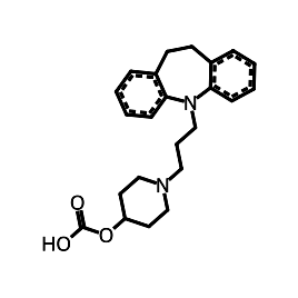 O=C(O)OC1CCN(CCCN2c3ccccc3CCc3ccccc32)CC1